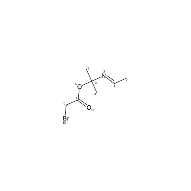 CC=NC(C)(C)OC(=O)CBr